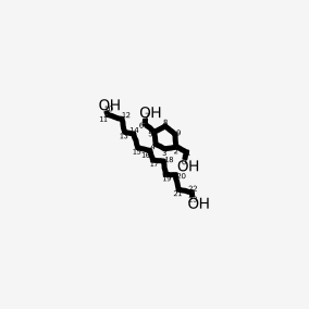 OCC1CCC(CO)CC1.OCCCCCCCCCCCCO